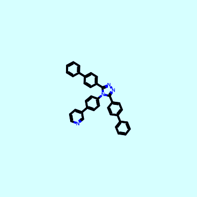 c1ccc(-c2ccc(-c3nnc(-c4ccc(-c5ccccc5)cc4)n3-c3ccc(-c4cccnc4)cc3)cc2)cc1